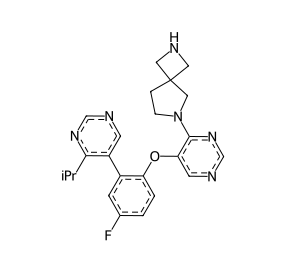 CC(C)c1ncncc1-c1cc(F)ccc1Oc1cncnc1N1CCC2(CNC2)C1